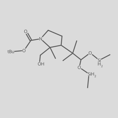 C[SiH2]OC(O[SiH2]C)C(C)(C)C1CCN(C(=O)OC(C)(C)C)C1(C)CO